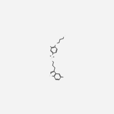 O=S(=O)(NCCCc1c[nH]c2ccc(Cl)cc12)c1ccc(OCCCBr)c(F)c1